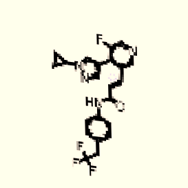 O=C(/C=C/c1cncc(F)c1-c1cnn(C2CC2)c1)Nc1ccc(CC(F)(F)F)cc1